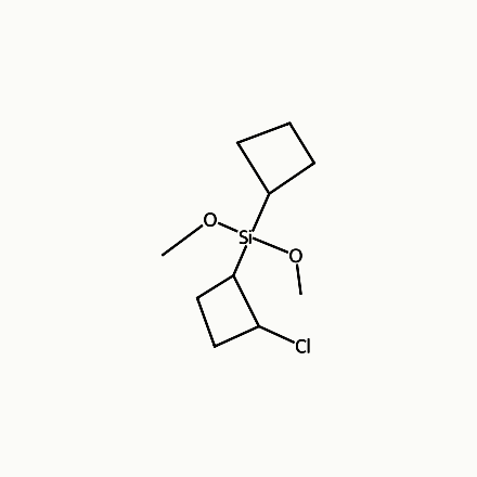 CO[Si](OC)(C1CCC1)C1CCC1Cl